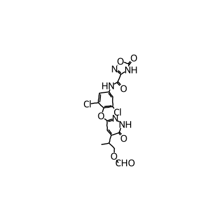 CC(COC=O)c1cc(Oc2c(Cl)cc(NC(=O)c3noc(=O)[nH]3)cc2Cl)n[nH]c1=O